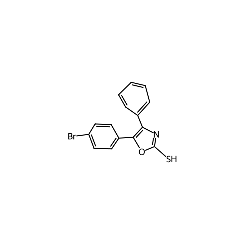 Sc1nc(-c2ccccc2)c(-c2ccc(Br)cc2)o1